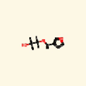 CC(C)(O)C(C)(C)OBc1ccoc1